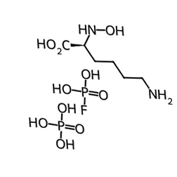 NCCCC[C@H](NO)C(=O)O.O=P(O)(O)F.O=P(O)(O)O